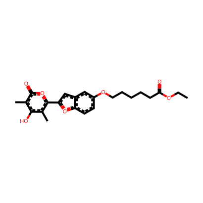 CCOC(=O)CCCCCOc1ccc2oc(-c3oc(=O)c(C)c(O)c3C)cc2c1